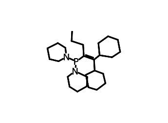 CCCC(=C(C1CCCCC1)C1CCCCC1)P(N1CCCCC1)N1CCCCC1